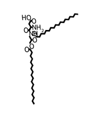 CCCCCCCCCCCCCCCCCC(=O)OCC(CNC(=O)C(N)CC(=O)O)OC(=O)CCCCCCCCCCCCCCCCC